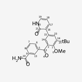 COc1c(C(=O)c2cccc(C(N)=O)c2)cc(-c2ccc[nH]c2=O)cc1C(C)(C)C